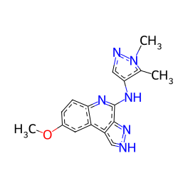 COc1ccc2nc(Nc3cnn(C)c3C)c3n[nH]cc3c2c1